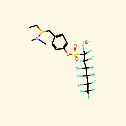 Br.CCP(Cc1ccc(OS(=O)(=O)C(F)(F)C(F)(F)C(F)(F)C(F)(F)C(F)(F)C(F)(F)F)cc1)N(C)C